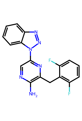 Nc1ncc(-n2nnc3ccccc32)nc1Cc1c(F)cccc1F